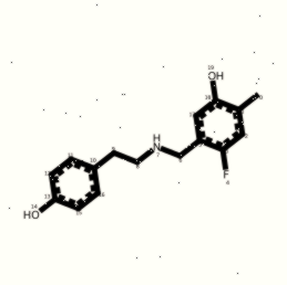 Cc1cc(F)c(CNCCc2ccc(O)cc2)cc1O